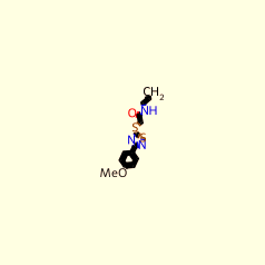 C=CCNC(=O)CSc1nc(-c2ccc(OC)cc2)ns1